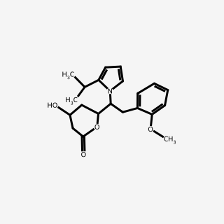 COc1ccccc1CC(C1CC(O)CC(=O)O1)n1cccc1C(C)C